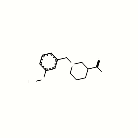 COc1cccc(CN2CC[CH]C(C(C)=O)C2)c1